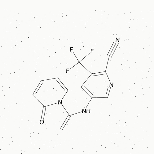 C=C(Nc1cnc(C#N)c(C(F)(F)F)c1)n1ccccc1=O